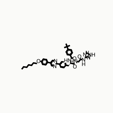 C=C(/C=C\C(=C/C)c1ncc(-c2ccc(OCCCCCCC)cc2)cn1)C[C@H](NC(=O)c1ccc(C(C)(C)C)cc1)C(=O)NCC(=O)Nc1nn[nH]n1